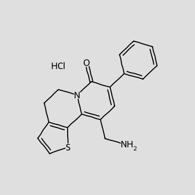 Cl.NCc1cc(-c2ccccc2)c(=O)n2c1-c1sccc1CC2